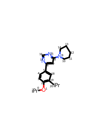 CC(C)Oc1ccc(-c2cc(N3CC[CH]CC3)ncn2)cc1C(C)C